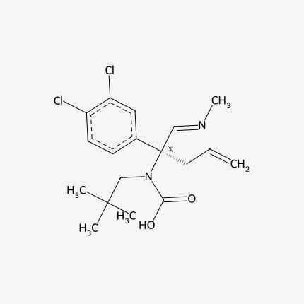 C=CC[C@@](C=NC)(c1ccc(Cl)c(Cl)c1)N(CC(C)(C)C)C(=O)O